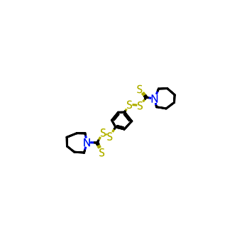 S=C(SSc1ccc(SSC(=S)N2CCCCCC2)cc1)N1CCCCCC1